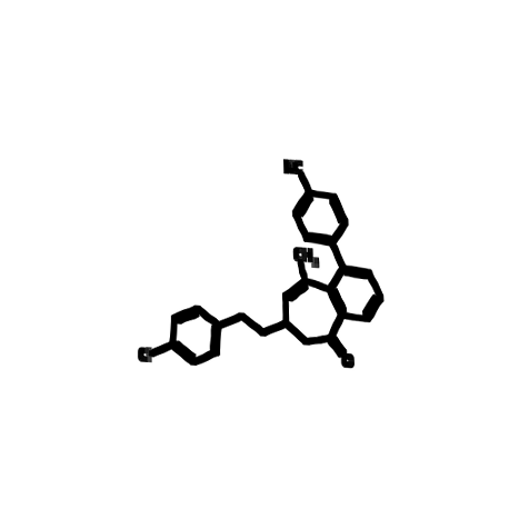 CC1=CC(CCc2ccc(Cl)cc2)CC(=O)c2cccc(-c3ccc(C#N)cc3)c21